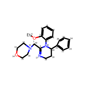 CCOc1ccccc1N1C(CN2CCOCC2)=NCCC1c1ccccc1